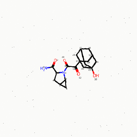 NC(=O)C1CC2CC2N1C(=O)C(=O)C12CC3CC(CC(O)(C3)C1)C2